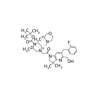 C[C@@H]1COCCN1C[C@H]1CN(C(=O)OC(C)(C)C)[C@H](C)CN1CC(=O)N1CC(C)(C)c2nc(CO)c(Cc3ccccc3F)cc21